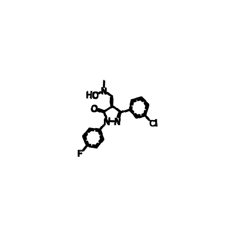 CN(O)C=C1C(=O)N(c2ccc(F)cc2)N=C1c1cccc(Cl)c1